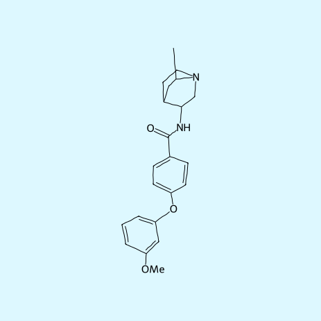 COc1cccc(Oc2ccc(C(=O)NC3CN4CCC3CC4C)cc2)c1